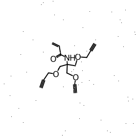 C#CCOCC(COC#C)(COCC#C)NC(=O)C=C